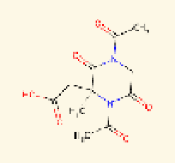 CC(=O)N1CC(=O)N(C(C)=O)[C@@](C)(CC(=O)O)C1=O